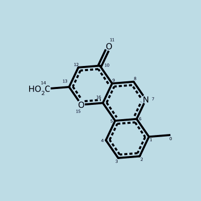 Cc1cccc2c1ncc1c(=O)cc(C(=O)O)oc12